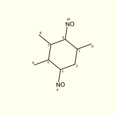 CC1CC(N=O)C(C)C(C)C1N=O